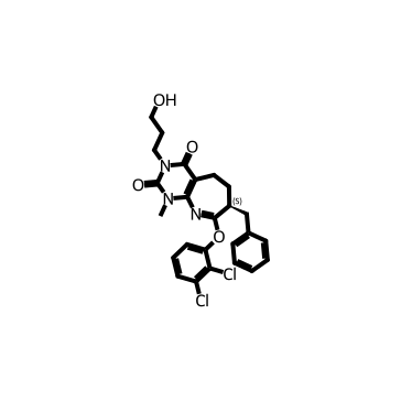 Cn1c2c(c(=O)n(CCCO)c1=O)CC[C@@H](Cc1ccccc1)C(Oc1cccc(Cl)c1Cl)=N2